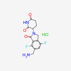 Cl.NCc1cc(F)c2c(c1F)C(=O)N(C1CCC(=O)NC1=O)C2